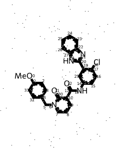 COc1ccc(Cn2cccc(C(=O)Nc3ccc(Cl)c(-c4nc5ccccc5[nH]4)c3)c2=O)cc1